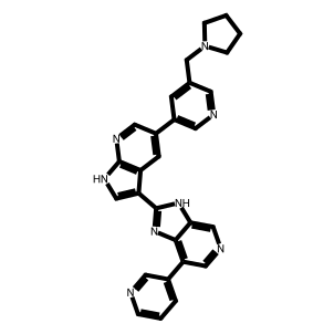 c1cncc(-c2cncc3[nH]c(-c4c[nH]c5ncc(-c6cncc(CN7CCCC7)c6)cc45)nc23)c1